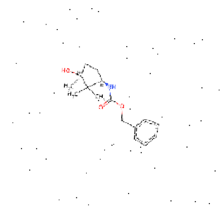 CC1(C)[C@H](NC(=O)OCc2ccccc2)CC[C@]1(C)O